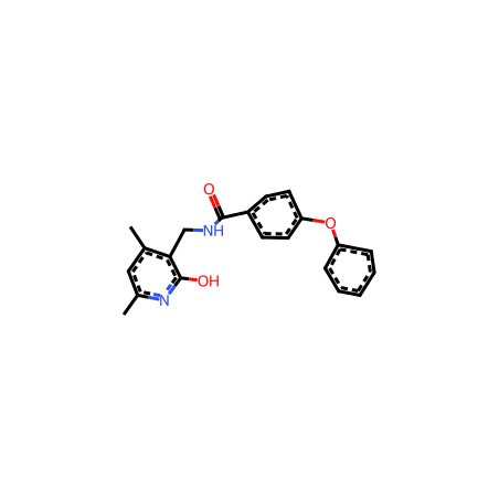 Cc1cc(C)c(CNC(=O)c2ccc(Oc3ccccc3)cc2)c(O)n1